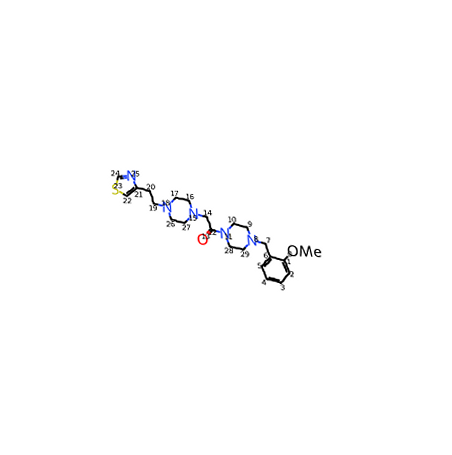 COc1ccccc1CN1CCN(C(=O)CN2CCN(CCc3cscn3)CC2)CC1